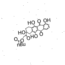 CCCCC(=O)OCC(=O)C1(O)CCc2c(O)c3c(c(O)c2C1)C(=O)c1cccc(O)c1C3=O